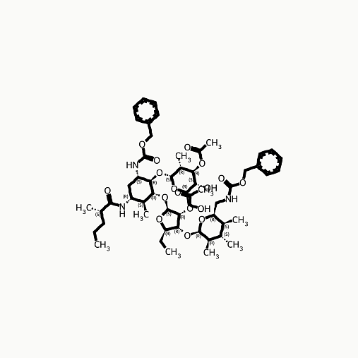 CCC[C@H](C)C(=O)N[C@@H]1C[C@H](NC(=O)OCc2ccccc2)[C@@H](O[C@H]2O[C@H](CO)[C@@H](O)[C@H](OC(C)=O)[C@H]2C)[C@H](O[C@@H]2O[C@H](CC)[C@@H](O[C@H]3O[C@@H](CNC(=O)OCc4ccccc4)[C@@H](C)[C@H](C)[C@H]3C)[C@H]2OC(C)=O)[C@H]1C